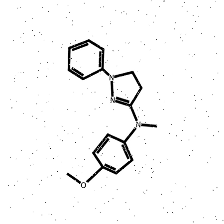 COc1ccc(N(C)C2=NN(c3ccccc3)CC2)cc1